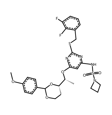 COc1ccc(C2OCC[C@@H]([C@@H](C)Oc3cc(NS(=O)(=O)N4CCC4)nc(SCc4cccc(F)c4F)n3)O2)cc1